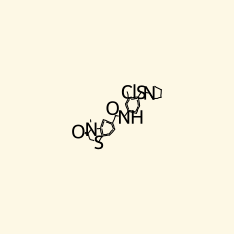 CN1C(=O)CSc2ccc(C(=O)Nc3ccc(SN4CCCC4)c(Cl)c3)cc21